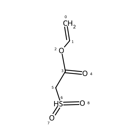 C=COC(=O)C[SH](=O)=O